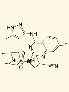 Cc1cc(Nc2nc(NC3CC4CCC(C3)N4S(=O)(=O)N3CC(C#N)C3)nc3cc(F)ccc23)n[nH]1